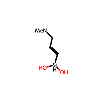 CNCC=C[SiH](O)O